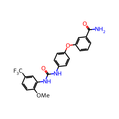 COc1ccc(C(F)(F)F)cc1NC(=O)Nc1ccc(Oc2cccc(C(N)=O)c2)cc1